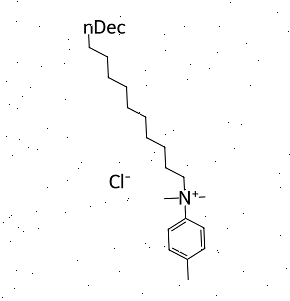 CCCCCCCCCCCCCCCCCCCC[N+](C)(C)c1ccc(C)cc1.[Cl-]